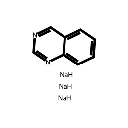 [NaH].[NaH].[NaH].c1ccc2ncncc2c1